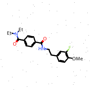 CCN(CC)C(=O)c1ccc(C(=O)NCCc2ccc(OC)c(F)c2)cc1